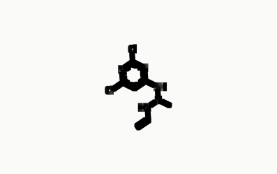 C=CNN(C)Nc1cc(Cl)nc(Cl)n1